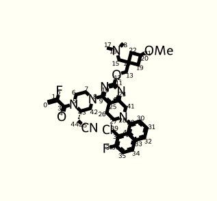 C=C(F)C(=O)N1CCN(c2nc(OCC3(CN(C)C)CC(OC)C3)nc3c2CCN(c2cccc4ccc(F)c(Cl)c24)C3)C[C@@H]1CC#N